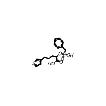 O=C(O)C(CCCc1ccsc1)OP(=O)(O)Cc1ccccc1